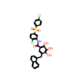 O=C(Nc1cc(S(=O)(=O)c2ccc(Cl)cc2)ccc1Cl)c1cc(Cc2cccc3ccccc23)c(O)c(O)c1O